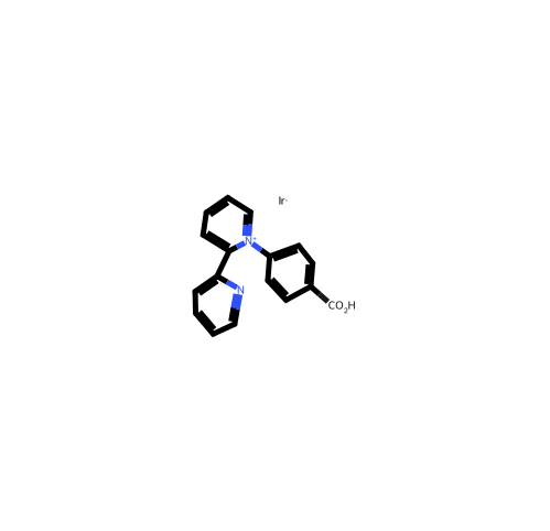 O=C(O)c1ccc(-[n+]2ccccc2-c2ccccn2)cc1.[Ir]